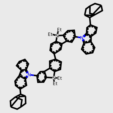 CC[Si]1(CC)c2ccc(-c3ccc4c(c3)-c3cc(-n5c6ccccc6c6ccc(C7C8CC9CC(C8)CC7C9)cc65)ccc3[Si]4(CC)CC)cc2-c2cc(-n3c4ccccc4c4ccc(C5C6CC7CC(C6)CC5C7)cc43)ccc21